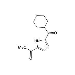 COC(=O)c1ccc(C(=O)C2CCCCC2)[nH]1